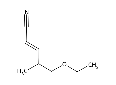 CCOCC(C)C=CC#N